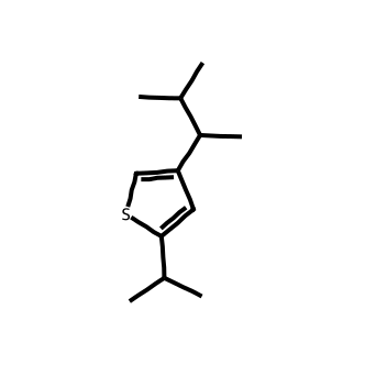 CC(C)c1cc(C(C)C(C)C)cs1